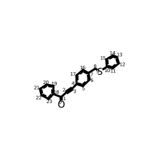 O=C(C#Cc1ccc(CSc2ccccc2)cc1)c1ccccc1